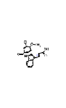 COc1ccc(C=O)cc1O.O=C(O)/C=C/c1c[nH]c2ccccc12